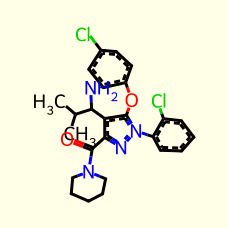 CC(C)C(N)c1c(C(=O)N2CCCCC2)nn(-c2ccccc2Cl)c1Oc1ccc(Cl)cc1